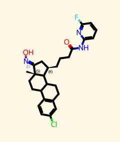 C[C@]12CCC3c4ccc(Cl)cc4CCC3C1[C@H](CCCC(=O)Nc1cccc(F)n1)C/C2=N\O